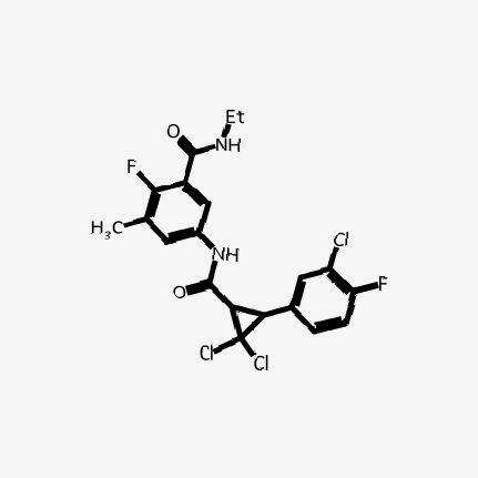 CCNC(=O)c1cc(NC(=O)C2C(c3ccc(F)c(Cl)c3)C2(Cl)Cl)cc(C)c1F